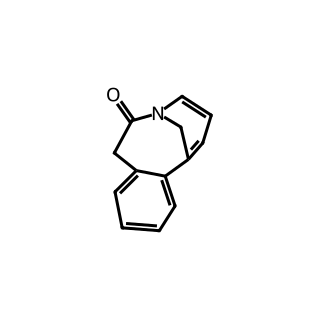 O=C1Cc2ccccc2C2=CC=CN1C2